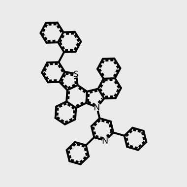 c1ccc(-c2cc(-n3c4ccc5ccccc5c4c4c5sc6c(-c7cccc8ccccc78)cccc6c5c5ccccc5c43)cc(-c3ccccc3)n2)cc1